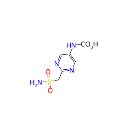 NS(=O)(=O)Cc1ncc(NC(=O)O)cn1